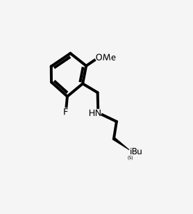 CC[C@H](C)CCNCc1c(F)cccc1OC